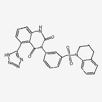 O=c1[nH]c2cccc(-c3nnn[nH]3)c2c(=O)n1-c1cccc(S(=O)(=O)N2CCCc3ccccc32)c1